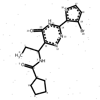 CCC(NC(=O)C1CCCC1)c1nnc(-c2sccc2Br)[nH]c1=O